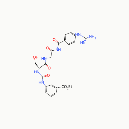 CCOC(=O)c1cccc(NC(=O)N[C@@H](CO)C(=O)NCC(=O)NC(=O)c2ccc(NC(=N)N)cc2)c1